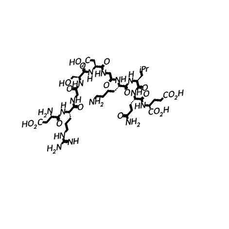 CC(C)C[C@H](NC(=O)[C@H](CCCCN)NC(=O)CNC(=O)[C@H](CC(=O)O)NC(=O)[C@H](CO)NC(=O)CNC(=O)[C@H](CCCNC(=N)N)NC(=O)[C@@H](N)CC(=O)O)C(=O)N[C@@H](CCC(N)=O)C(=O)N[C@@H](CCC(=O)O)C(=O)O